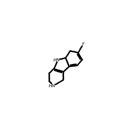 FC1=CC=C2C3=C(CCNC3)NC2C1